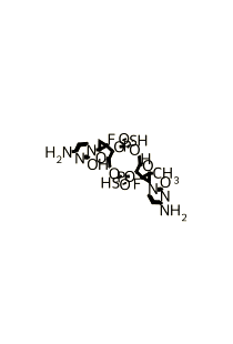 CC12O[C@@H]3CO[P@@](=O)(S)OC4[C@@H](CO[P@@](=O)(S)OC3C1(F)[C@@H]2n1ccc(N)nc1=O)OC1(n2ccc(N)nc2=O)CC41F